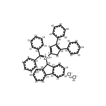 C1=[C]([Zr+2](=[C](c2ccccc2)c2ccccc2)[CH]2c3ccccc3-c3ccccc32)CC(c2ccccc2)=C1c1ccccc1.[Cl-].[Cl-]